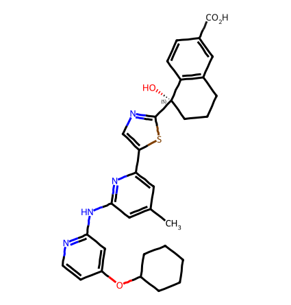 Cc1cc(Nc2cc(OC3CCCCC3)ccn2)nc(-c2cnc([C@]3(O)CCCc4cc(C(=O)O)ccc43)s2)c1